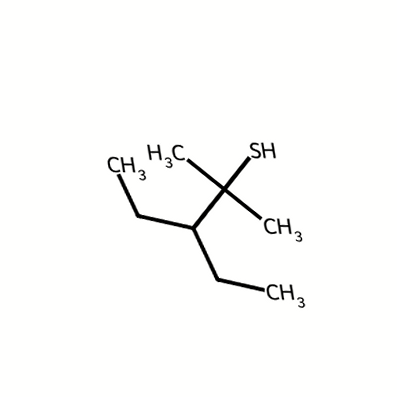 CCC(CC)C(C)(C)S